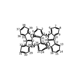 c1ccc(-n2c3ccccc3c3c4ccccc4oc32)c(-c2ccccc2-n2c3ccccc3c3c4ccccc4oc32)c1